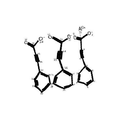 O=C([O-])C#Cc1ccccc1.O=C([O-])C#Cc1ccccc1.O=C([O-])C#Cc1ccccc1.[Al+3]